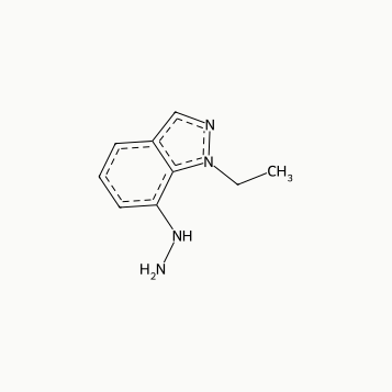 CCn1ncc2cccc(NN)c21